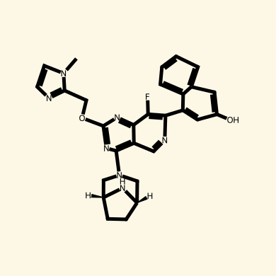 Cn1ccnc1COc1nc(N2C[C@H]3CC[C@@H](C2)N3)c2cnc(-c3cc(O)cc4ccccc34)c(F)c2n1